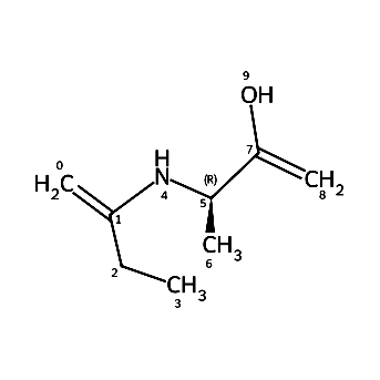 C=C(CC)N[C@H](C)C(=C)O